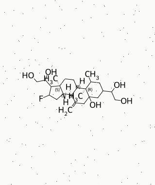 C=C1CC2(O)CC(C(O)CO)CC(C)[C@]2(C)[C@@H]2CC[C@]3(C)C(C(O)CO)C(F)C[C@H]3[C@H]12